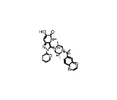 C[C@@H]1CN(c2c3c(cc(O)c(=O)n3C)nn2C2CCCCO2)[C@@H](C)CN1[C@@H](C)c1ccc2nccnc2c1